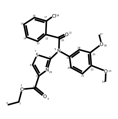 CCOC(=O)c1csc(N(C(=O)c2ccccc2Cl)c2ccc(OC)c(OC)c2)n1